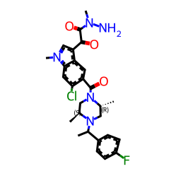 CC(c1ccc(F)cc1)N1C[C@@H](C)N(C(=O)c2cc3c(C(=O)C(=O)N(C)N)cn(C)c3cc2Cl)C[C@@H]1C